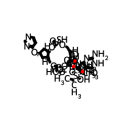 CC(C)[Si](O)(O[Si](O[C@H]1[C@H]2OP(=O)(O)OC[C@H]3C[C@@H](Oc4ccncn4)C[C@@H]3O[P@@](=O)(S)OC[C@H]1O[C@H]2n1cnc2c(=O)[nH]c(N)nc21)(C(C)C)C(C)C)C(C)C